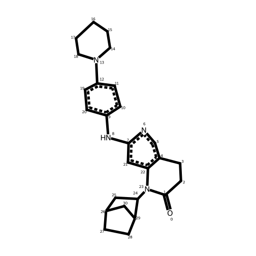 O=C1CCc2cnc(Nc3ccc(N4CCCCC4)cc3)cc2N1C1CC2CCC1C2